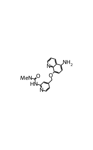 CNC(=O)Nc1cc(COc2ccc(N)c3cccnc23)ccn1